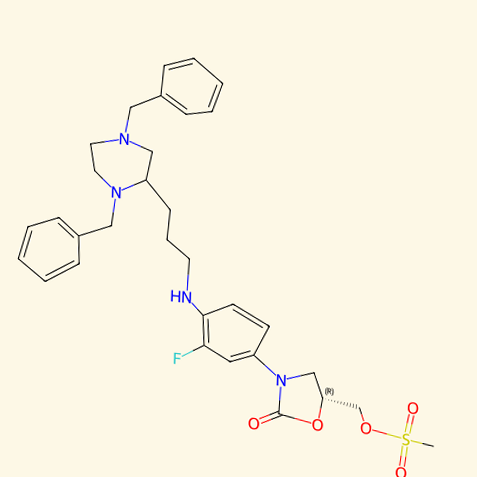 CS(=O)(=O)OC[C@H]1CN(c2ccc(NCCCC3CN(Cc4ccccc4)CCN3Cc3ccccc3)c(F)c2)C(=O)O1